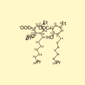 CCc1cc(CCCCCCC(C)C)c(O)c(C(=O)[O-])c1.CCc1cc(CCCCCCC(C)C)c(O)c(C(=O)[O-])c1.[Zn+2]